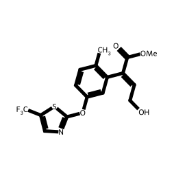 COC(=O)/C(=C/CO)c1cc(Oc2ncc(C(F)(F)F)s2)ccc1C